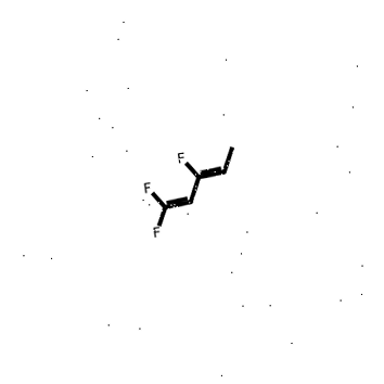 CC=C(F)C=C(F)F